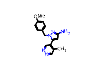 COc1ccc(Cn2nc(N)cc2-c2cnncc2C)cc1